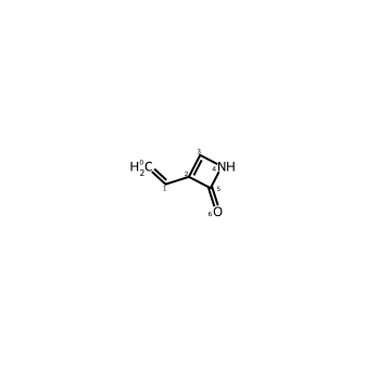 C=CC1=CNC1=O